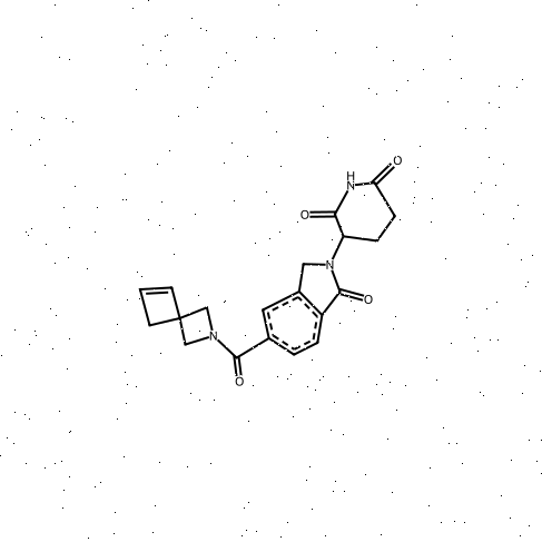 O=C1CCC(N2Cc3cc(C(=O)N4CC5(C=CC5)C4)ccc3C2=O)C(=O)N1